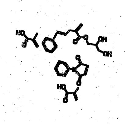 C=C(C)C(=O)O.C=C(C)C(=O)O.C=C(CC=Cc1ccccc1)C(=O)OCC(O)CO.O=C1C=CC(=O)N1c1ccccc1